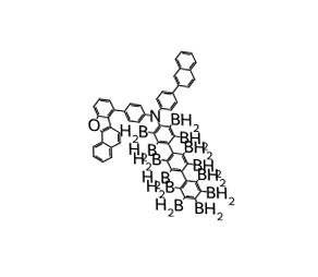 Bc1c(B)c(B)c(-c2c(B)c(B)c(-c3c(B)c(B)c(N(c4ccc(-c5ccc6ccccc6c5)cc4)c4ccc(-c5cccc6oc7c8ccccc8ccc7c56)cc4)c(B)c3B)c(B)c2B)c(B)c1B